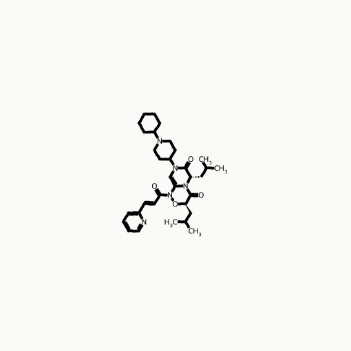 CC(C)C[C@H]1ON(C(=O)/C=C/c2ccccn2)C2=CN(C3CCN(C4CCCCC4)CC3)C(=O)[C@H](CC(C)C)N2C1=O